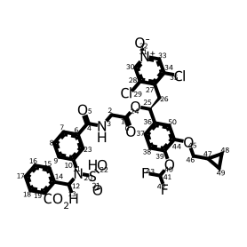 O=C(CNC(=O)c1cccc(N(C(C(=O)O)c2ccccc2)[SH](=O)=O)c1)O[C@@H](Cc1c(Cl)c[n+]([O-])cc1Cl)c1ccc(OC(F)F)c(OCC2CC2)c1